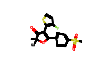 CCC1(C)OC(c2ccc(S(C)(=O)=O)cc2)=C(c2sccc2F)C1=O